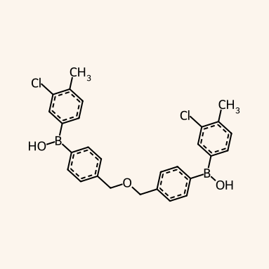 Cc1ccc(B(O)c2ccc(COCc3ccc(B(O)c4ccc(C)c(Cl)c4)cc3)cc2)cc1Cl